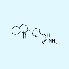 NC(=S)Nc1ccc(C2CCC3CCCCC3N2)cc1